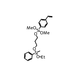 C=Cc1ccc([Si](OC)(OC)OCCCO[Si](C)(OCC)c2ccccc2)cc1